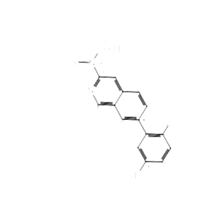 Cc1ccc(F)cc1-c1ccc2cc(N(C(=O)O)C(C)C)ncc2c1